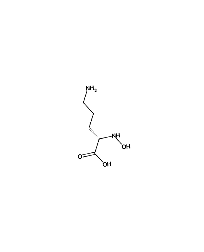 NCCC[C@H](NO)C(=O)O